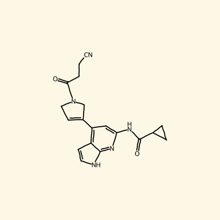 N#CCCC(=O)N1CC=C(c2cc(NC(=O)C3CC3)nc3[nH]ccc23)C1